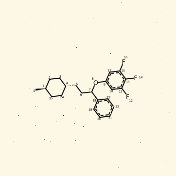 C[C@H]1CC[C@H](CCC(Oc2cc(F)c(F)c(F)c2)c2ccccc2)CC1